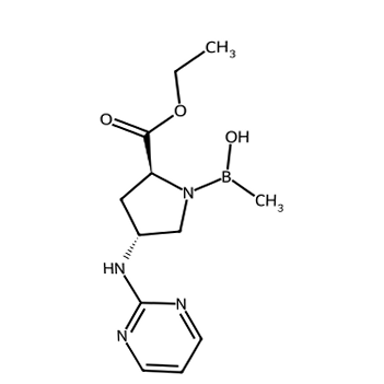 CCOC(=O)[C@@H]1C[C@@H](Nc2ncccn2)CN1B(C)O